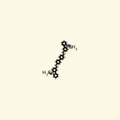 CCn1c2ccccc2c2cc(/C=C/c3ccc(-c4ccc(/C=C/c5ccc6c(c5)c5ccccc5n6CC)cc4)cc3)ccc21